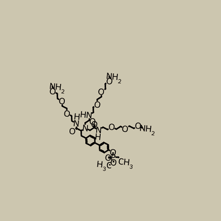 CCP(=O)(OC)Oc1ccc(-c2ccc(CC(C(=O)NCCOCCOCCON)N(CC(=O)NCCOCCOCCON)CC(=O)NCCOCCOCCON)cc2)cc1